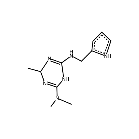 CC1N=C(NCc2ccc[nH]2)NC(N(C)C)=N1